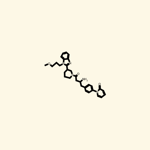 COCCCn1c(C2CCCN(C(=O)CC(N)Cc3ccc(-n4ccccc4=O)cc3)C2)nc2ccccc21